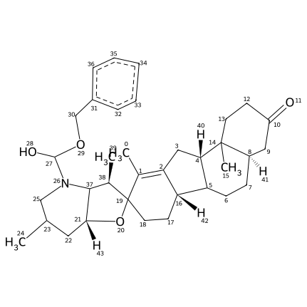 CC1=C2C[C@H]3C(CC[C@@H]4CC(=O)CCC43C)[C@@H]2CCC12O[C@@H]1CC(C)CN(C(O)OCc3ccccc3)C1[C@H]2C